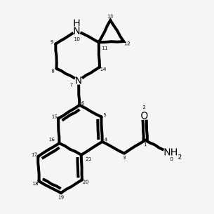 NC(=O)Cc1cc(N2CCNC3(CC3)C2)cc2ccccc12